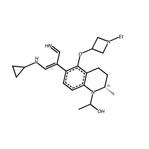 CCN1CC(Oc2c(/C(C=N)=C/NC3CC3)ccc3c2CC[C@H](C)N3C(C)O)C1